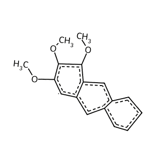 COc1[c]c2cc3ccccc3cc2c(OC)c1OC